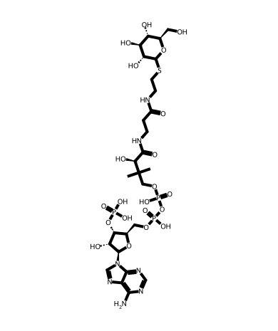 CC(C)(COP(=O)(O)OP(=O)(O)OC[C@H]1O[C@@H](n2cnc3c(N)ncnc32)[C@H](O)[C@@H]1OP(=O)(O)O)[C@@H](O)C(=O)NCCC(=O)NCCSC1O[C@H](CO)[C@@H](O)[C@H](O)[C@H]1O